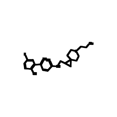 CC(C)(C)CCN1CCC2(CC1)CC2CNC(=N)/C=C\C(=N)c1cc(F)ccc1C#N